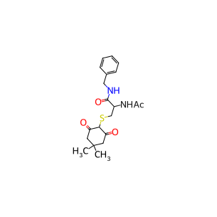 CC(=O)NC(CSC1C(=O)CC(C)(C)CC1=O)C(=O)NCc1ccccc1